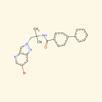 CC(C#N)(Cn1cc2ncc(Br)cc2n1)NC(=O)c1ccc(-c2ccccc2)cc1